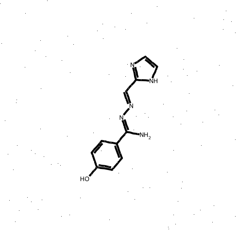 NC(=NN=Cc1ncc[nH]1)c1ccc(O)cc1